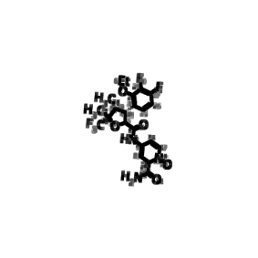 CCOc1c([C@@H]2C(C(=O)NC3=C[C@H](C(N)=O)[N+](=O)C=C3)O[C@](C)(C(F)(F)F)[C@@H]2C)ccc(F)c1F